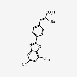 Cc1cc(C#N)cc2nc(-c3ccc(C=C(C(=O)O)C(C)(C)C)cc3)oc12